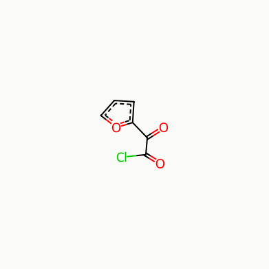 O=C(Cl)C(=O)c1ccco1